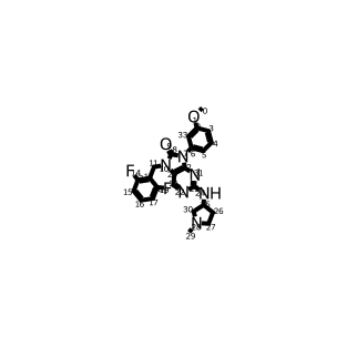 COc1cccc(-n2c(=O)n(Cc3c(F)cccc3F)c3cnc(NC4CCN(C)C4)nc32)c1